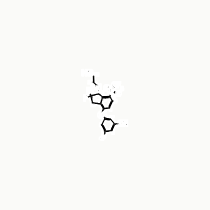 N#Cc1cc(F)cc(Oc2ccc(S(=O)(=O)C(F)(F)F)c3c2CC(F)(F)[C@H]3NCCO)c1